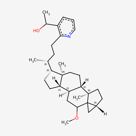 COC1C[C@H]2[C@@H]3CC[C@H]([C@H](C)CCc4ncccc4C(C)O)[C@@]3(C)CC[C@@H]2[C@@]2(C)CC[C@@H]3CC132